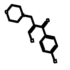 O=C(C(=CCl)CN1CCOCC1)c1ccc(Cl)cc1